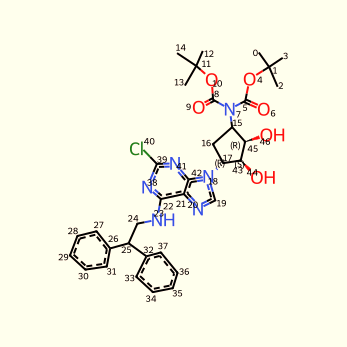 CC(C)(C)OC(=O)N(C(=O)OC(C)(C)C)C1C[C@@H](n2cnc3c(NCC(c4ccccc4)c4ccccc4)nc(Cl)nc32)[C@H](O)[C@@H]1O